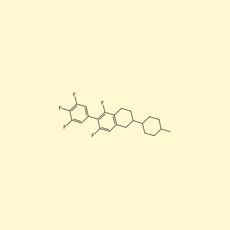 CC1CCC(C2CCc3c(cc(F)c(-c4cc(F)c(F)c(F)c4)c3F)C2)CC1